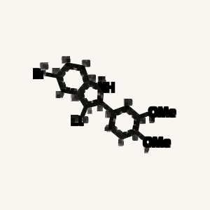 CCc1c(-c2ccc(OC)c(OC)c2)[nH]c2ccc(Br)cc12